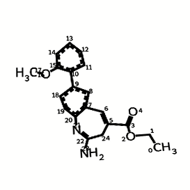 CCOC(=O)C1=Cc2cc(-c3ccccc3OC)ccc2N=C(N)C1